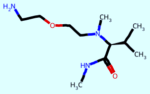 CNC(=O)[C@H](C(C)C)N(C)CCOCCN